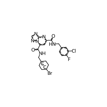 O=C(NCc1ccc(F)c(Cl)c1)c1cc(C(=O)NCC23CCC(Br)(CC2)CC3)n2ncnc2n1